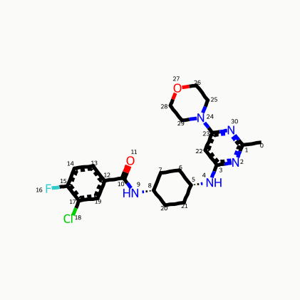 Cc1nc(N[C@H]2CC[C@@H](NC(=O)c3ccc(F)c(Cl)c3)CC2)cc(N2CCOCC2)n1